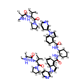 CN[C@@H](C)C(=O)N[C@H](C(=O)N1CCC[C@H]1c1cncc(-n2ccc3c(C(=O)N[C@H]4CCCC[C@@H]4NC(=O)c4cccc5c4ccn5-c4cncc([C@@H]5CCCN5C(=O)[C@@H](NC(=O)[C@H](C)NC)C(C)C)c4)cccc32)c1)C(C)C